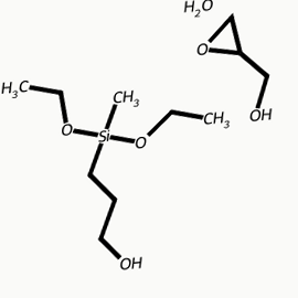 CCO[Si](C)(CCCO)OCC.O.OCC1CO1